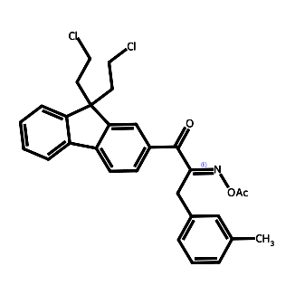 CC(=O)O/N=C(\Cc1cccc(C)c1)C(=O)c1ccc2c(c1)C(CCCl)(CCCl)c1ccccc1-2